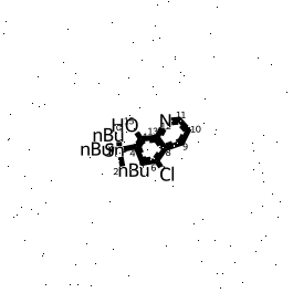 CCC[CH2][Sn]([CH2]CCC)([CH2]CCC)[c]1cc(Cl)c2cccnc2c1O